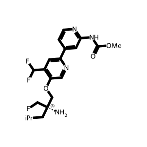 COC(=O)Nc1cc(-c2cc(C(F)F)c(OC[C@](N)(CF)CC(C)C)cn2)ccn1